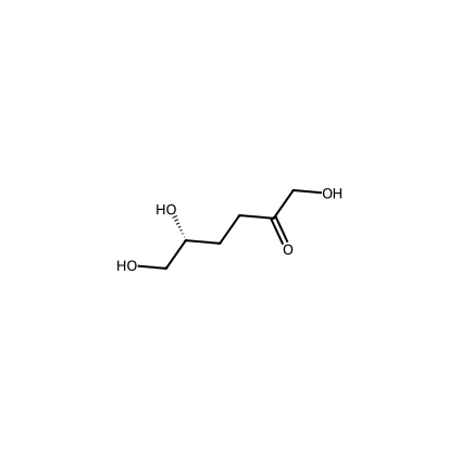 O=C(CO)CC[C@@H](O)CO